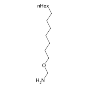 CCCCCCCCCCCCCOCN